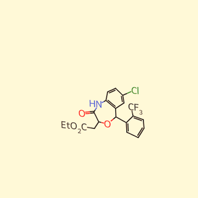 CCOC(=O)CC1OC(c2ccccc2C(F)(F)F)c2cc(Cl)ccc2NC1=O